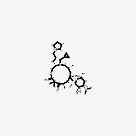 CO[C@]1(C)C[C@@H](C)CN(CC2CC2)[C@@H](CCCN2CCCC2)COC(=O)C(C)(C)C(=O)[C@H](C)[C@H]1O[C@@H]1O[C@H](C)C[C@H](N(C)C)[C@H]1O